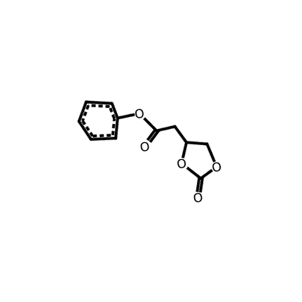 O=C(CC1COC(=O)O1)Oc1ccccc1